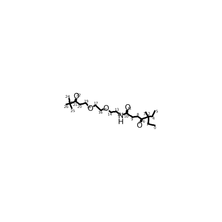 CCC(C)(CC)C(=O)CCC(=O)NCCOCCOCCC(=O)C(C)(C)C